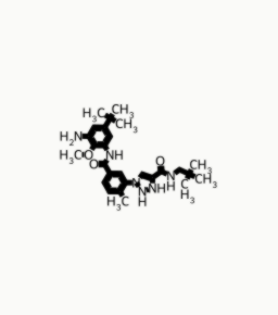 COc1c(N)cc(C(C)(C)C)cc1NC(=O)c1ccc(C)c(N2C=C(C(=O)NCC(C)(C)C)NN2)c1